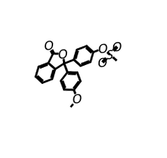 COc1ccc(C2(c3ccc(OS(C)(=O)=O)cc3)OC(=O)c3ccccc32)cc1